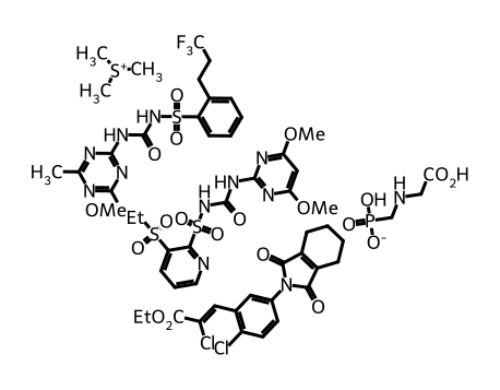 CCOC(=O)/C(Cl)=C/c1cc(N2C(=O)C3=C(CCCC3)C2=O)ccc1Cl.CCS(=O)(=O)c1cccnc1S(=O)(=O)NC(=O)Nc1nc(OC)cc(OC)n1.COc1nc(C)nc(NC(=O)NS(=O)(=O)c2ccccc2CCC(F)(F)F)n1.C[S+](C)C.O=C(O)CNCP(=O)([O-])O